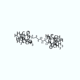 CC1(C)C(=O)N(CCCCCCCCN2C(=O)C(C)(C)N(O)C(C)(C)C2=O)C(=O)C(C)(C)N1O